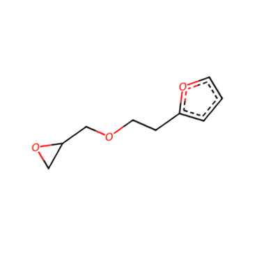 c1coc(CCOCC2CO2)c1